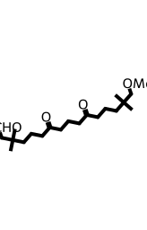 COCC(C)(C)CCCC(=O)CCCC(=O)CCCC(C)(C)CC=O